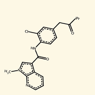 CC(C)C(=O)Cc1ccc(NC(=O)c2cn(C)c3ncccc23)c(Cl)c1